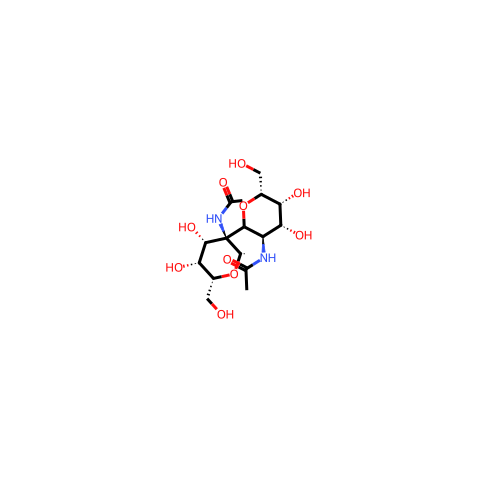 CC(=O)N[C@H]1C([C@]2(NC(C)=O)[CH]O[C@H](CO)[C@H](O)[C@@H]2O)O[C@H](CO)[C@H](O)[C@@H]1O